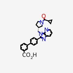 O=C(O)c1cccc(-c2ccc(-c3nc4cccnc4n3C[C@@H]3CCN(C(=O)C4CC4)C3)cc2)c1